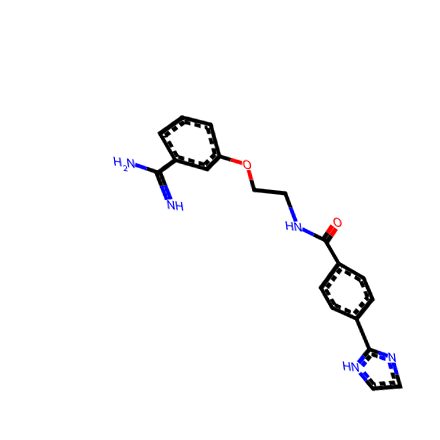 N=C(N)c1cccc(OCCNC(=O)c2ccc(-c3ncc[nH]3)cc2)c1